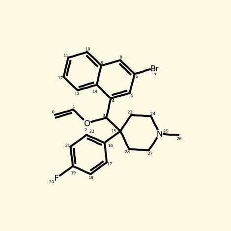 C=COC(c1cc(Br)cc2ccccc12)C1(c2ccc(F)cc2)CCN(C)CC1